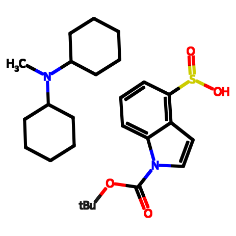 CC(C)(C)OC(=O)n1ccc2c(S(=O)O)cccc21.CN(C1CCCCC1)C1CCCCC1